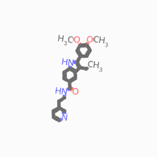 CCc1c(-c2ccc(OC)c(OC)c2)[nH]c2ccc(C(=O)NCCc3cccnc3)cc12